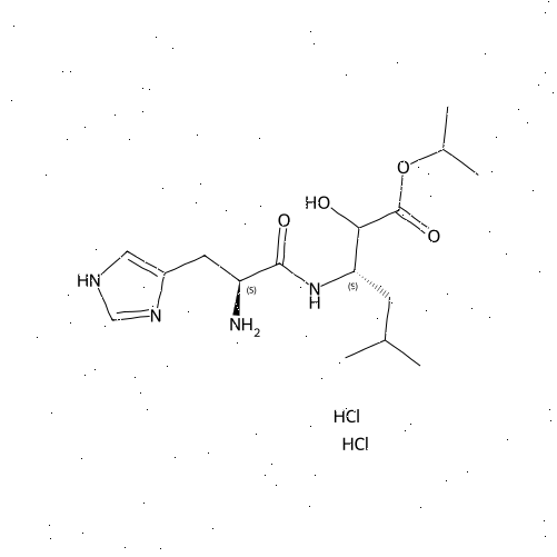 CC(C)C[C@H](NC(=O)[C@@H](N)Cc1c[nH]cn1)C(O)C(=O)OC(C)C.Cl.Cl